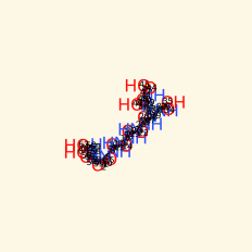 CC(C)[C@H](NC(=O)CNC(=O)CNC(=O)CNC(=O)CNC(=O)CNC(=O)CN(CCNCC(=O)O)CCN(CCNCC(=O)O)CC(=O)O)C(=O)N[C@H](C)C(=O)N1CCC[C@H]1B(O)O